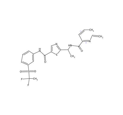 C=C/N=C(\C=C/C)C(=O)NC(C)c1ncc(C(=O)Nc2cccc(S(=O)(=O)C(C)(F)F)c2)s1